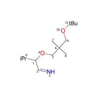 CC(C)C(C=N)OCC(C)(C)COC(C)(C)C